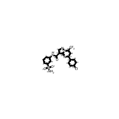 NS(=O)(=O)c1cccc(NC(=O)c2cnn3c(C(F)(F)F)cc(-c4ccc(Cl)cc4)nc23)c1